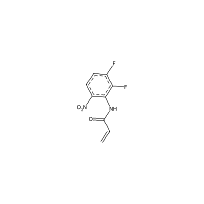 C=CC(=O)Nc1c([N+](=O)[O-])ccc(F)c1F